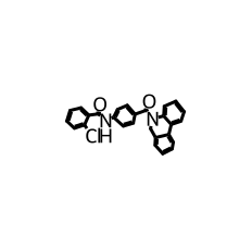 O=C(Nc1ccc(C(=O)N2Cc3ccccc3-c3ccccc32)cc1)c1ccccc1Cl